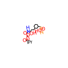 CC(C)C(=O)OCOC(=O)NC(O)CCC1CCCC(C[PH](=O)O)C1